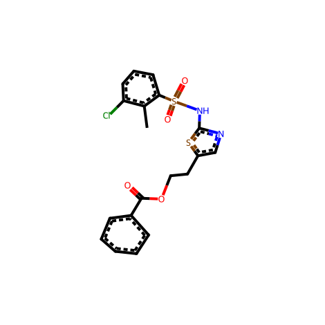 Cc1c(Cl)cccc1S(=O)(=O)Nc1ncc(CCOC(=O)c2ccccc2)s1